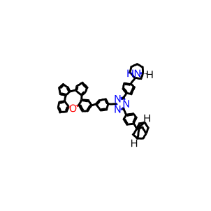 c1ccc2c(c1)oc1ccc(-c3ccc(-c4nc(-c5ccc(C67CC8C[C@H](C6)C[C@@H](C8)C7)cc5)nc(-c5ccc(C67CCCC[C@@H](C6)N7)cc5)n4)cc3)cc1c1ccccc1c1ccccc21